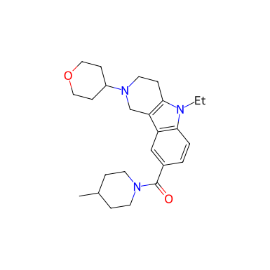 CCn1c2c(c3cc(C(=O)N4CCC(C)CC4)ccc31)CN(C1CCOCC1)CC2